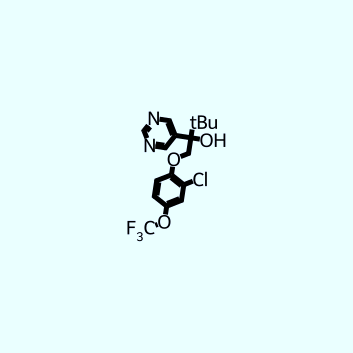 CC(C)(C)C(O)(COc1ccc(OC(F)(F)F)cc1Cl)c1cncnc1